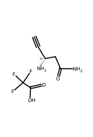 C#C[C@@H](N)CC(N)=O.O=C(O)C(F)(F)F